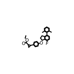 CCOC(=O)C1CC1c1ccc(O[C@@H]2CCc3c(-c4c(C)cccc4C)ccc(F)c32)cc1